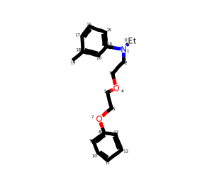 CCN(CCOCCOc1ccccc1)c1cccc(C)c1